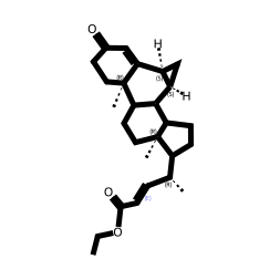 CCOC(=O)/C=C/[C@@H](C)C1CCC2C3C(CC[C@@]21C)[C@@]1(C)CCC(=O)C=C1[C@H]1C[C@@H]31